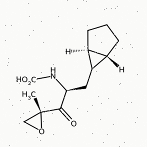 C[C@]1(C(=O)[C@H](CC2[C@H]3CCC[C@H]23)NC(=O)O)CO1